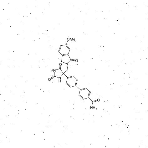 COc1ccc2c(c1)C(=O)N(CC1(c3ccc(-c4ccc(C(N)=O)nc4)cc3)NC(=O)NC1=O)C2